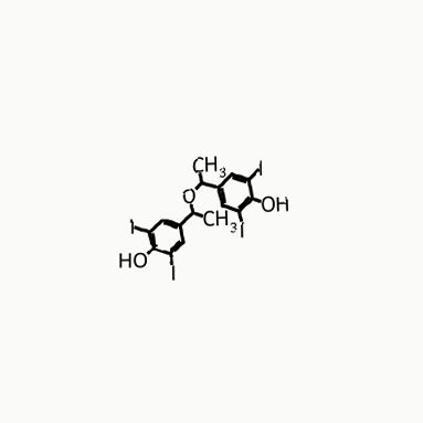 CC(OC(C)c1cc(I)c(O)c(I)c1)c1cc(I)c(O)c(I)c1